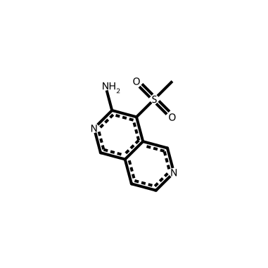 CS(=O)(=O)c1c(N)ncc2ccncc12